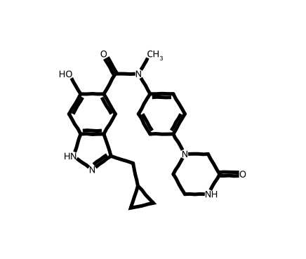 CN(C(=O)c1cc2c(CC3CC3)n[nH]c2cc1O)c1ccc(N2CCNC(=O)C2)cc1